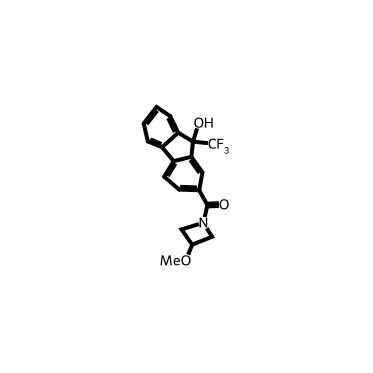 COC1CN(C(=O)c2ccc3c(c2)C(O)(C(F)(F)F)c2ccccc2-3)C1